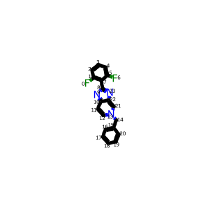 Fc1cccc(F)c1-c1nc2ccn(Cc3ccccc3)cc-2n1